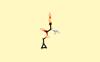 N[C@@H](C#P=O)C(=O)OCC1CC1